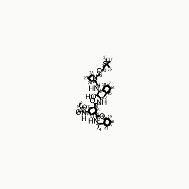 CCS(=O)(=O)Nc1cc(C(=O)N[C@@H](Cc2ccccc2)[C@H](O)CNCc2cccn2COCC[Si](C)(C)C)cc(C(=O)N[C@H](C)c2ccccc2)c1